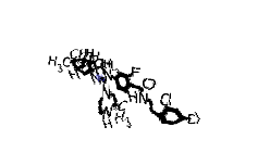 C[C@@H]1[C@@H](/N=C(\Nc2ccc(C(=O)NCCc3ccc(Cl)cc3Cl)c(F)c2)N2CCN[C@@H](C)C2)C[C@H]2C[C@@H]1C2(C)C